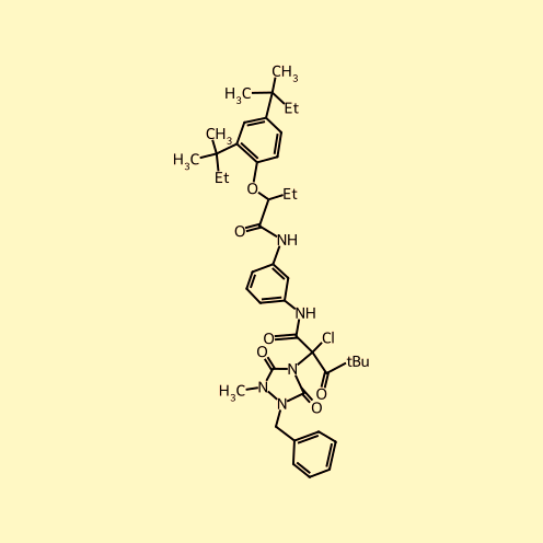 CCC(Oc1ccc(C(C)(C)CC)cc1C(C)(C)CC)C(=O)Nc1cccc(NC(=O)C(Cl)(C(=O)C(C)(C)C)n2c(=O)n(C)n(Cc3ccccc3)c2=O)c1